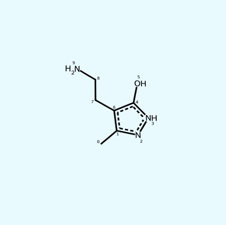 Cc1n[nH]c(O)c1CCN